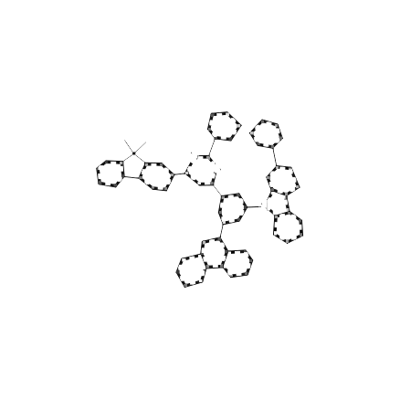 CC1(C)c2ccccc2-c2ccc(-c3cc(-c4cc(-c5cc6ccccc6c6ccccc56)cc(-n5c6ccccc6c6ccc(-c7ccccc7)cc65)c4)nc(-c4ccccc4)n3)cc21